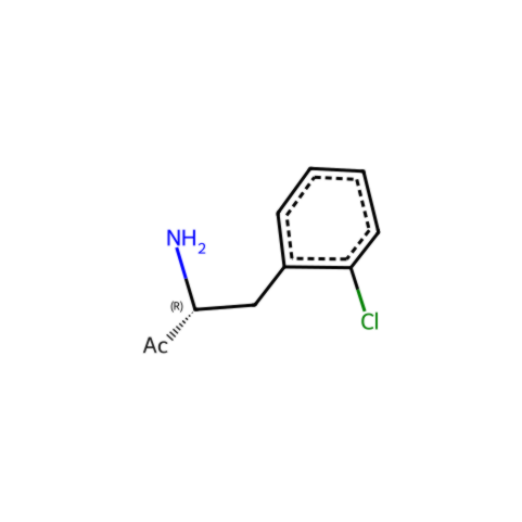 CC(=O)[C@H](N)Cc1ccccc1Cl